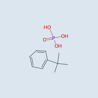 CC(C)(C)c1ccccc1.O=P(O)(O)O